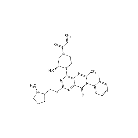 C=CC(=O)N1CCN(c2nc(OCC3CCCN3C)nc3c(=O)n(-c4ccccc4F)c(C(F)(F)F)nc23)[C@@H](C)C1